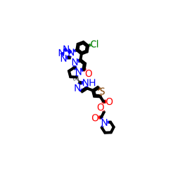 O=C(OCC(=O)N1CCCCC1)c1cc(-c2cnc([C@@H]3CCc4nc(-c5cc(Cl)ccc5-n5cnnn5)cc(=O)n43)[nH]2)cs1